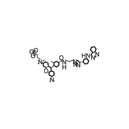 Cc1cc(C(=O)NCCCn2cc(-c3cccc(Nc4ncnc5ccccc45)c3)nn2)ccc1-c1c2cc/c(=[N+](/C)CCCS(=O)(=O)[O-])cc-2oc2cc(N(C)C)ccc12